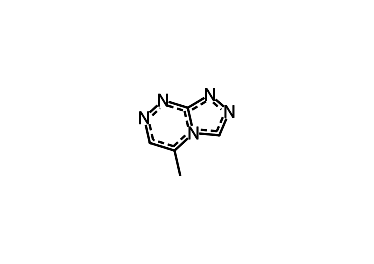 Cc1cnnc2nncn12